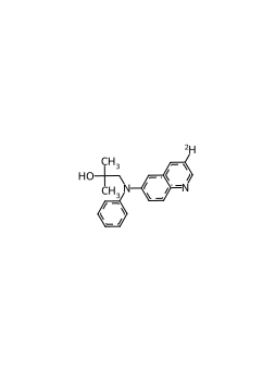 [2H]c1cnc2ccc(N(CC(C)(C)O)c3ccccc3)cc2c1